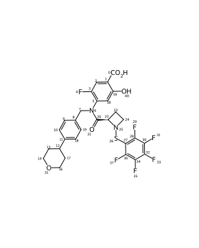 O=C(O)c1cc(F)c(N(Cc2ccc(C3CCOCC3)cc2)C(=O)[C@H]2CCN2Sc2c(F)c(F)c(F)c(F)c2F)cc1O